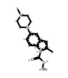 Cc1cc2cc(N3CCN(C)CC3)ccc2n1C(=O)OC(C)(C)C